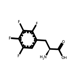 N[C@@H](Cc1cc(F)c(F)c(F)c1F)C(=O)O